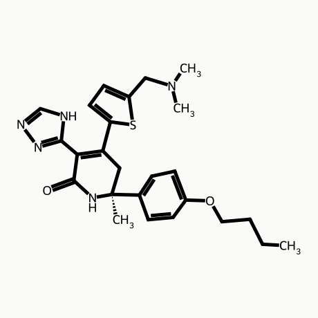 CCCCOc1ccc([C@]2(C)CC(c3ccc(CN(C)C)s3)=C(c3nnc[nH]3)C(=O)N2)cc1